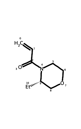 C=CC(=O)N1CCOC[C@@H]1CC